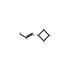 C1CCC1.C=CC